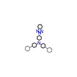 c1ccc2nn(-c3ccc(N(c4ccc(C5CCCCC5)cc4)c4ccc(C5CCCCC5)cc4)cc3)nc2c1